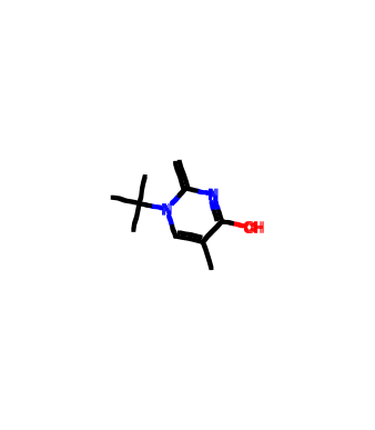 C=C1N=C(O)C(C)=CN1C(C)(C)C